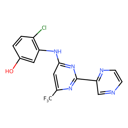 Oc1ccc(Cl)c(Nc2cc(C(F)(F)F)nc(-c3cnccn3)n2)c1